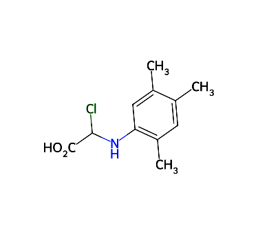 Cc1cc(C)c(NC(Cl)C(=O)O)cc1C